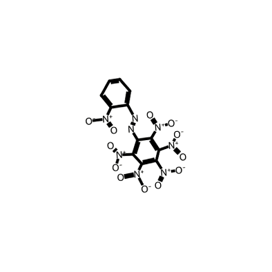 O=[N+]([O-])c1ccccc1N=Nc1c([N+](=O)[O-])c([N+](=O)[O-])c([N+](=O)[O-])c([N+](=O)[O-])c1[N+](=O)[O-]